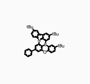 CC(C)(C)c1ccc2c(c1)B1c3c(cc(-c4ccccc4)cc3-n3c4ccc(C(C)(C)C)cc4c4cc(C(C)(C)C)cc1c43)O2